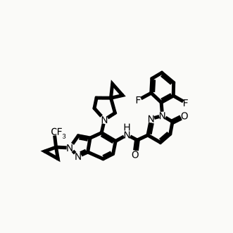 O=C(Nc1ccc2nn(C3(C(F)(F)F)CC3)cc2c1N1CCC2(CC2)C1)c1ccc(=O)n(-c2c(F)cccc2F)n1